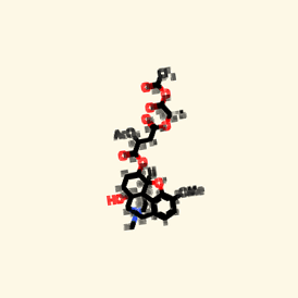 COc1ccc2c3c1O[C@H]1C(OC(=O)[C@H](CC(=O)O[C@@H](C)C(=O)OC(=O)C(F)(F)F)OC(C)=O)=CC[C@@]4(O)C(C2)N(C)CC[C@]314